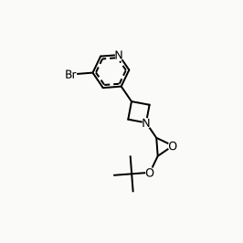 CC(C)(C)OC1OC1N1CC(c2cncc(Br)c2)C1